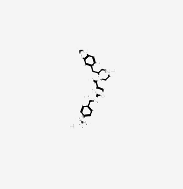 NS(=O)(=O)c1ccc(C(=O)Nc2nc(C(=O)N3CCNCC3Cc3ccc4c(c3)OCO4)cs2)cc1